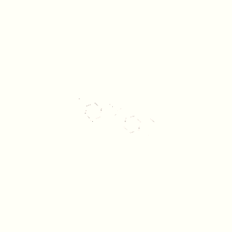 COc1ncc(C(C)(C)C)cc1NS(=O)(=O)c1ccc(Cl)c(C(=O)O)c1